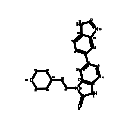 O=c1[nH]c2ncc(-c3ccc4[nH]cnc4c3)nc2n1CCC1CCOCC1